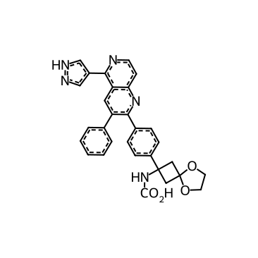 O=C(O)NC1(c2ccc(-c3nc4ccnc(-c5cn[nH]c5)c4cc3-c3ccccc3)cc2)CC2(C1)OCCO2